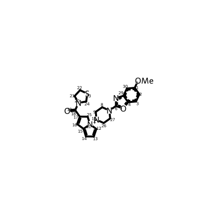 COc1ccc2oc(N3CCN([N@@+]45C=CC=C4C=C(C(=O)N4CCSC4)C5)CC3)nc2c1